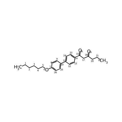 CCCCCCOc1ccc(-c2ccc(C(=O)CC(=O)CCC)cc2)cc1